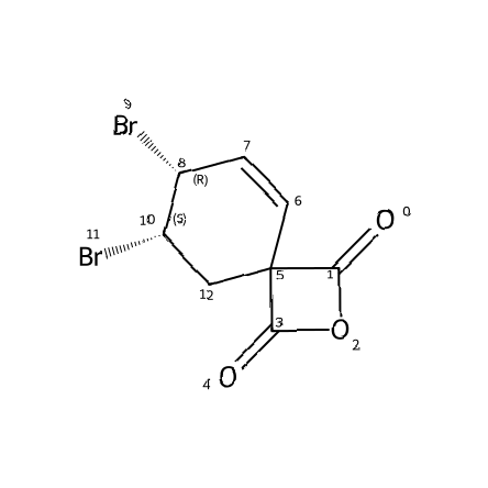 O=C1OC(=O)C12C=C[C@@H](Br)[C@@H](Br)C2